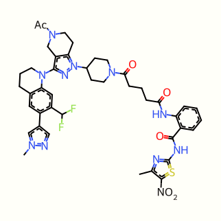 CC(=O)N1CCc2c(c(N3CCCc4cc(-c5cnn(C)c5)c(C(F)F)cc43)nn2C2CCN(C(=O)CCCC(=O)Nc3ccccc3C(=O)Nc3nc(C)c([N+](=O)[O-])s3)CC2)C1